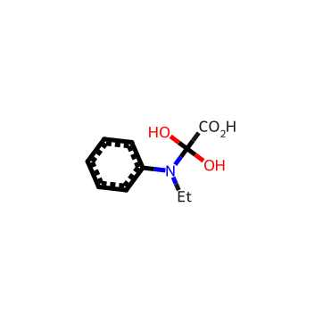 CCN(c1ccccc1)C(O)(O)C(=O)O